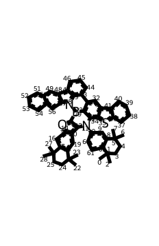 CC1(C)CCC(C)(C)c2cc(N3c4c(oc5cc6c(cc45)C(C)(C)CCC6(C)C)B4c5c(cc6c(sc7ccccc76)c53)-c3cccc5c6cc7ccccc7cc6n4c35)ccc21